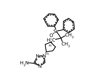 CC(C)(C)[Si](O[C@@H]1CC[C@H](n2cnc(N)n2)C1)(c1ccccc1)c1ccccc1